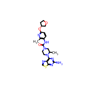 Cc1nc(O[C@H]2CCOC2)ccc1NC(=O)N1CCN(c2nc(N)nc3scnc23)C(C)C1